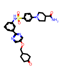 NC(=O)C1CCN(c2ccc(S(=O)(=O)Nc3cccc(-c4ncc(OCC5CCC(=O)CC5)cn4)c3)cc2)CC1